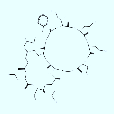 CC[C@H](C)CCCCC(=O)N[C@@H](CCN)C(=O)N[C@H](C(=O)N[C@@H](CCN)C(=O)N[C@H]1CCNC(=O)[C@H]([C@@H](C)O)NC(=O)[C@H](CCN)NC(=O)[C@H](CCN)NC(=O)[C@H]([C@@H](C)CC)NC(=O)[C@@H](Cc2ccccc2)NC(=O)[C@H](CCN)NC1=O)[C@@H](C)O